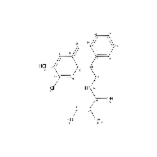 CC(CO)C(O)NCc1c2ccccc2cc2ccc(Cl)cc12.Cl